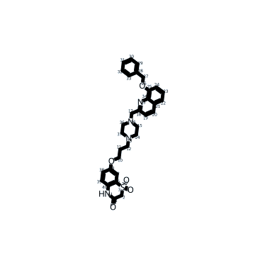 O=C1CS(=O)(=O)c2cc(OCCCN3CCN(Cc4ccc5cccc(OCc6ccccc6)c5n4)CC3)ccc2N1